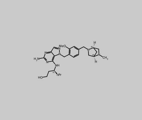 CCC[C@@H](CCO)Nc1nc(N)nc2cnn(Cc3ccc(CN4C[C@H]5C[C@@H]4CN5C)cc3OC)c12